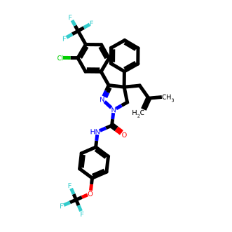 C=C(C)CC1(c2ccccc2)CN(C(=O)Nc2ccc(OC(F)(F)F)cc2)N=C1c1ccc(C(F)(F)F)c(Cl)c1